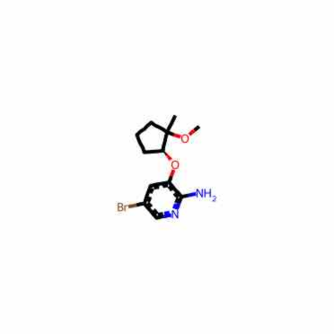 COC1(C)CCC[C@@H]1Oc1cc(Br)cnc1N